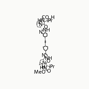 COC(=O)NC(C(=O)N1[C@@H]2CC2C[C@H]1c1nc(-c2ccc(C#Cc3ccc4[nH]c([C@@H]5CC6C[C@H]6N5C(=O)C(NC(=O)O)C(C)C)nc4c3)cc2)c[nH]1)C(C)C